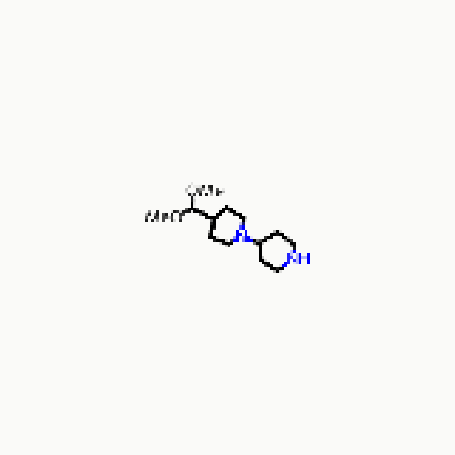 COC(OC)C1CCN(C2CCNCC2)CC1